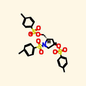 Cc1ccc(S(=O)(=O)OC[C@@H]2C[C@@H](OS(=O)(=O)c3ccc(C)cc3)CN2S(=O)(=O)c2ccc(C)cc2)cc1